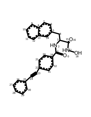 O=C(NC(Cc1ccc2ccccc2c1)C(=O)NO)c1ccc(C#Cc2ccccc2)cc1